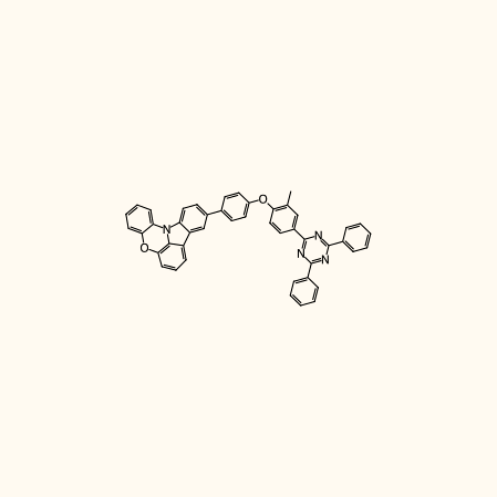 Cc1cc(-c2nc(-c3ccccc3)nc(-c3ccccc3)n2)ccc1Oc1ccc(-c2ccc3c(c2)c2cccc4c2n3-c2ccccc2O4)cc1